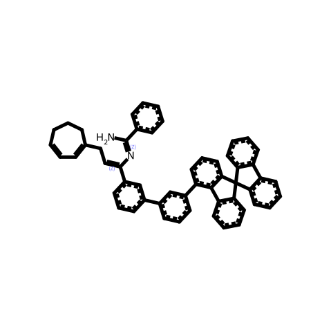 N/C(=N\C(=C/CC1=CC=CCCC1)c1cccc(-c2cccc(-c3cccc4c3-c3ccccc3C43c4ccccc4-c4ccccc43)c2)c1)c1ccccc1